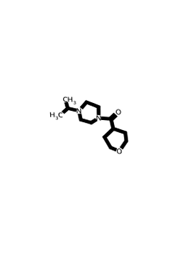 CC(C)N1CCN(C(=O)C2CCOCC2)CC1